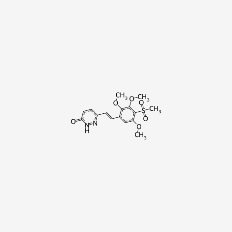 COc1cc(C=Cc2ccc(=O)[nH]n2)c(OC)c(OC)c1S(C)(=O)=O